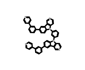 c1cc(-c2ccncc2)cc(-c2ccc3c(c2)c2cnccc2n3-c2cccc(-n3c4ccncc4c4cc(-c5cccc(-c6ccncc6)c5)ccc43)c2)c1